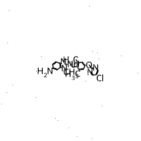 Cc1cc(Oc2ncc(Cl)cn2)cc(C)c1CNc1nc2ccc(N)cc2n1C